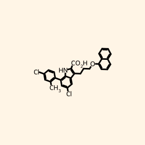 Cc1cc(Cl)ccc1-c1cc(Cl)cc2c(CCCOc3cccc4ccccc34)c(C(=O)O)[nH]c12